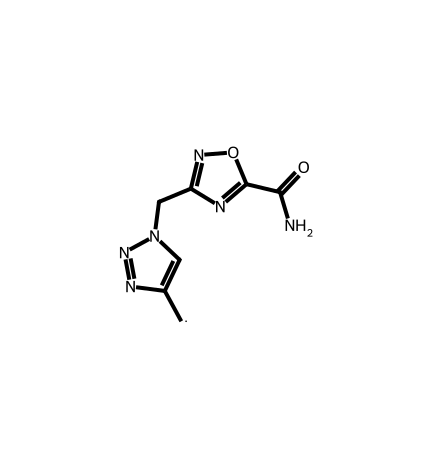 [CH2]c1cn(Cc2noc(C(N)=O)n2)nn1